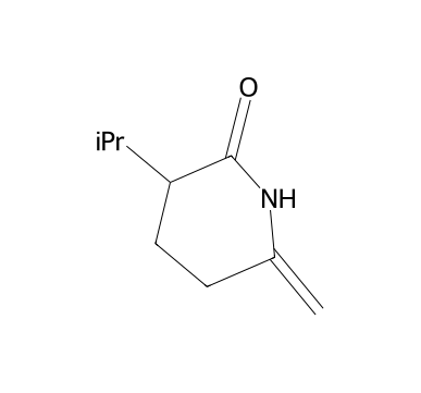 C=C1CCC(C(C)C)C(=O)N1